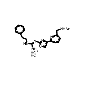 CC(=O)NCc1cccc(-c2coc(/N=C(\N)NCCc3ccccc3)n2)n1.Cl.Cl